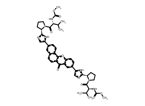 COC(=O)N[C@H](C(=O)N1CCC[C@@H]1c1ncc(-c2ccc3oc4c(ccc5cc(-c6cnc([C@H]7CCCN7C(=O)[C@H](NC(=O)OC)C(C)C)[nH]6)ccc54)c(=O)c3c2)[nH]1)C(C)C